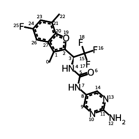 Cc1c([C@H](NC(=O)Nc2cnc(N)nc2)C(F)(F)F)oc2c(C)cc(F)cc12